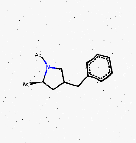 CC(=O)[C@@H]1CC(Cc2ccccc2)CN1C(C)=O